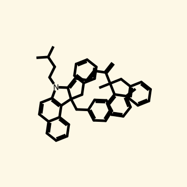 C=C(/C=C/C=C1/N(CCC(C)C)c2ccc3ccccc3c2C1(Cc1ccccc1)Cc1ccccc1)C(C)(Cc1ccccc1)c1ccccc1C